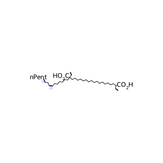 C=CC(CCCCCCCCCCCCCCCCC(C=C)(CCCCCC/C=C\C/C=C\CCCCC)C(=O)O)C(=O)O